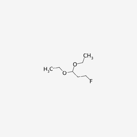 CCOC(CCF)OCC